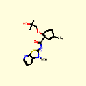 CCCCn1/c(=N/C(=O)c2cc(C(F)(F)F)ccc2OCC(C)(C)O)sc2ncccc21